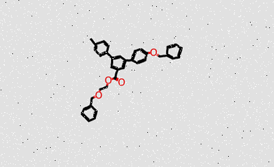 Cc1ccc(-c2cc(C(=O)OCCOCc3ccccc3)cc(-c3ccc(OCc4ccccc4)cc3)c2)cc1